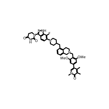 COc1cc(-c2cn(C)c(=O)c(C)c2C)cc(OC)c1CN1CCc2c(CC3CCN(c4ccc5c(N6CCC(=O)NC6=O)n[nH]c5c4F)CC3)cccc2C1